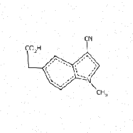 Cn1cc(C#N)c2cc(CC(=O)O)ccc21